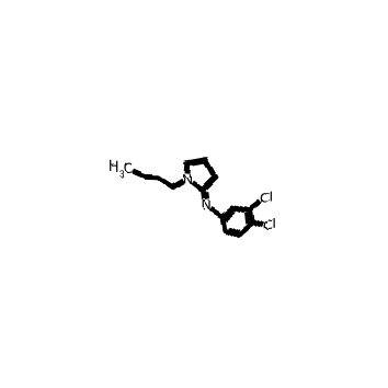 CCCCN1CCC/C1=N\c1ccc(Cl)c(Cl)c1